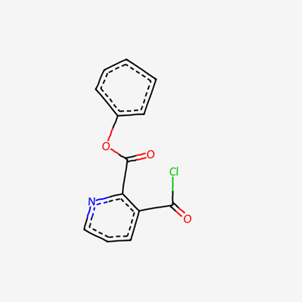 O=C(Cl)c1cccnc1C(=O)Oc1ccccc1